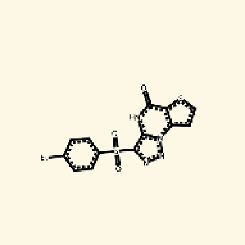 CCc1ccc(S(=O)(=O)c2nnn3c2[nH]c(=O)c2sccc23)cc1